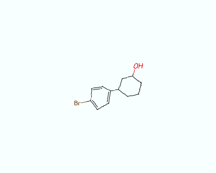 OC1CCCC(c2ccc(Br)cc2)C1